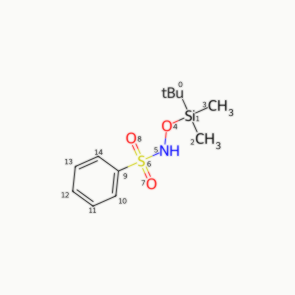 CC(C)(C)[Si](C)(C)ONS(=O)(=O)c1ccccc1